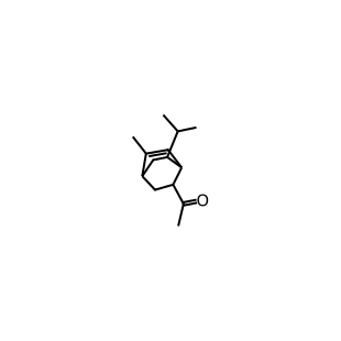 CC(=O)C1CC2CC(C(C)C)C1C=C2C